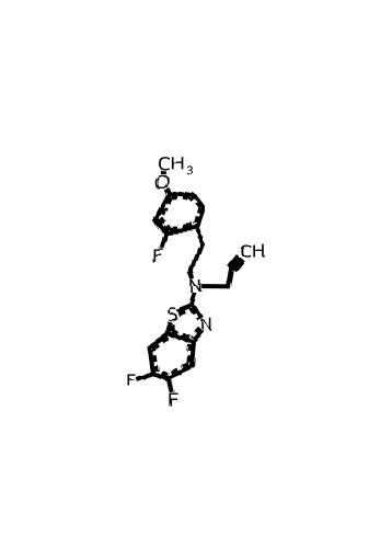 C#CCN(CCc1ccc(OC)cc1F)c1nc2cc(F)c(F)cc2s1